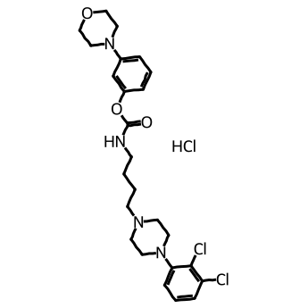 Cl.O=C(NCCCCN1CCN(c2cccc(Cl)c2Cl)CC1)Oc1cccc(N2CCOCC2)c1